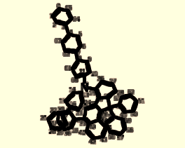 c1ccc(-c2ccc(-c3ccc(N(c4ccc(-c5ccccc5)cc4)c4cccc5c4-c4cc(-c6ccccc6)c6ccccc6c4C5(c4ccccc4)c4ccccc4)cc3)cc2)cc1